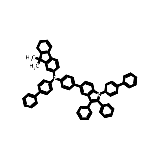 CC1(C)C2=C(C=CCC2)c2ccc(N(c3ccc(-c4ccccc4)cc3)c3ccc(-c4ccc5c(c4)c(-c4ccccc4)c(-c4ccccc4)n5C4C=CC(c5ccccc5)=CC4)cc3)cc21